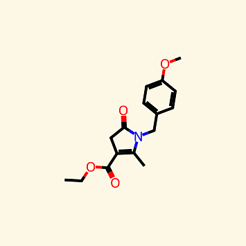 CCOC(=O)C1=C(C)N(Cc2ccc(OC)cc2)C(=O)C1